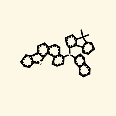 CC1(C)c2ccccc2-c2c(N(c3ccc4ccccc4c3)c3cccc4c3ccc3ccc5c6ccccc6sc5c34)cccc21